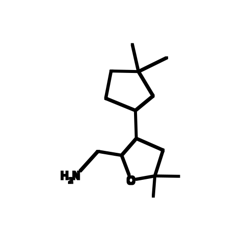 CC1(C)CCC(C2CC(C)(C)OC2CN)C1